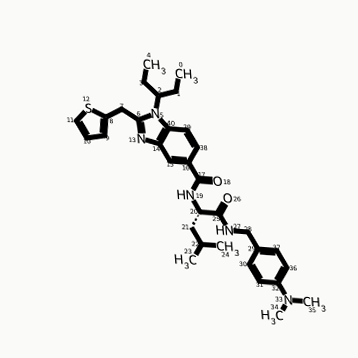 CCC(CC)n1c(Cc2cccs2)nc2cc(C(=O)N[C@@H](CC(C)C)C(=O)NCc3ccc(N(C)C)cc3)ccc21